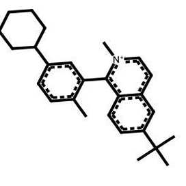 Cc1ccc(C2CCCCC2)cc1-c1c2ccc(C(C)(C)C)cc2cc[n+]1C